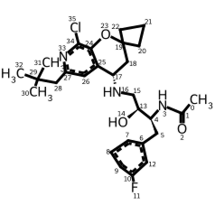 CC(=O)N[C@@H](Cc1cccc(F)c1)[C@@H](O)CN[C@H]1CC2(CCC2)Oc2c1cc(CC(C)(C)C)nc2Cl